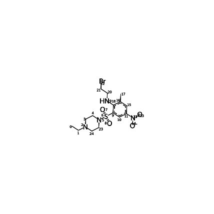 CCN1CCN(S(=O)(=O)c2cc([N+](=O)[O-])cc(C)c2NCCBr)CC1